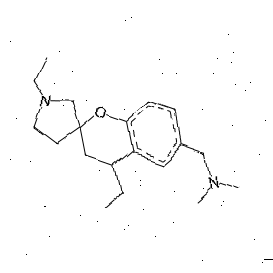 CCC1CC2(CCN(CC)C2)Oc2ccc(CN(C)C)cc21